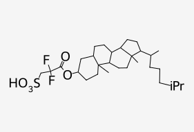 CC(C)CCCC(C)C1CCC2C3CCC4CC(OC(=O)C(F)(F)CS(=O)(=O)O)CCC4(C)C3CCC12C